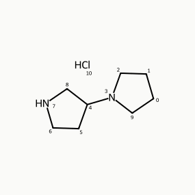 C1CCN(C2CCNC2)C1.Cl